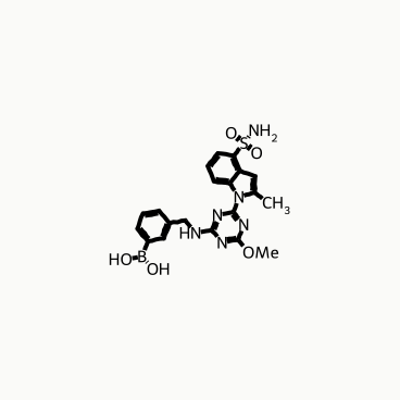 COc1nc(NCc2cccc(B(O)O)c2)nc(-n2c(C)cc3c(S(N)(=O)=O)cccc32)n1